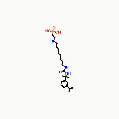 C=C(C)c1cccc(C(C)(C)NC(=O)NCCCCCCCCNCCP(=O)(O)O)c1